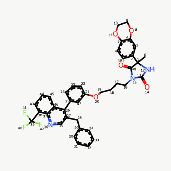 CC1(c2ccc3c(c2)OCCO3)NC(=O)N(CCCCOc2cccc(-c3c(Cc4ccccc4)cnc4c(C(F)(F)F)cccc34)c2)C1=O